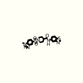 Cn1nnc2cc(S(=O)(=O)N3CCC(C(=O)Nc4ccc5scnc5c4)CC3)ccc21